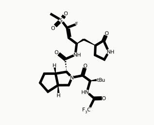 CC(C)(C)[C@@H](NC(=O)C(F)(F)F)C(=O)N1C[C@@H]2CCC[C@@H]2[C@@H]1C(=O)N[C@@H](/C=C(\F)S(C)(=O)=O)C[C@@H]1CCNC1=O